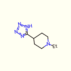 CCN1CCC(c2nnn[nH]2)CC1